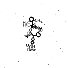 COC(=O)N[C@H]1CC2(C1)C[C@H](C1c3cccc(c3)S(=O)(=O)Nc3nc(c(C)c(-c4c(C)cccc4C)n3)OC[C@H]1CC1(C(F)(F)F)CC1)C2